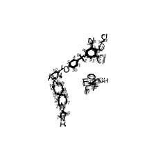 CC(C)(c1ccc(OCc2ccnc(N3CCC4(CC3)CCN(C3CNC3)CC4)n2)cc1)c1cc(Cl)c(OCCCl)c(C#N)c1.O=C(O)C(F)(F)F